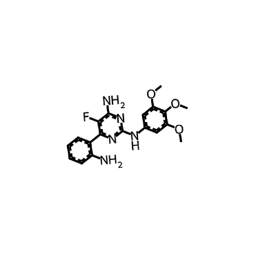 COc1cc(Nc2nc(N)c(F)c(-c3ccccc3N)n2)cc(OC)c1OC